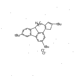 CC1=C(c2cc(C(C)(C)C)cc3c2[CH]([Zr+2])c2ccc(C(C)(C)C)cc2-3)CC(C(C)(C)C)=C1.[Cl-].[Cl-]